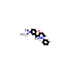 C=C(c1cccc(N(CC)C(=O)O)c1)c1nn(-c2ccccc2)ccc1=O